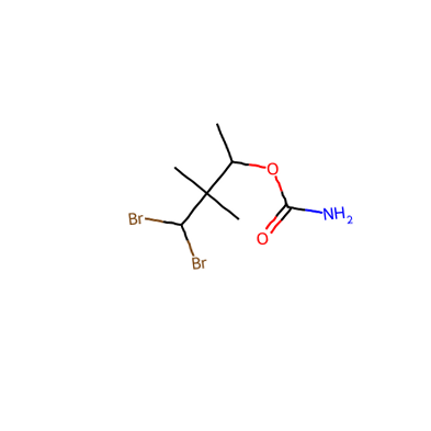 CC(OC(N)=O)C(C)(C)C(Br)Br